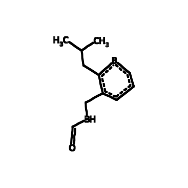 CC(C)Cc1bcccc1CBC=O